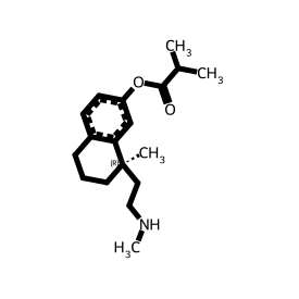 CNCC[C@@]1(C)CCCc2ccc(OC(=O)C(C)C)cc21